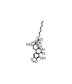 CCCCCCCOP1(=O)O[C@@H]2[C@H](O1)[C@@H](O)CC1c3cc4c(c(O)c3C(=O)N[C@H]12)OCO4